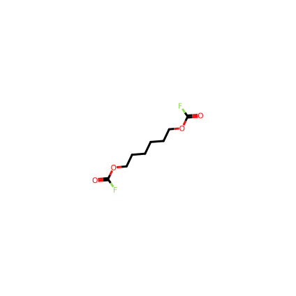 O=C(F)OCCCCCCOC(=O)F